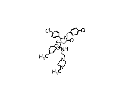 Cc1ccc(SC2(C(=O)NCCN3CCN(C)CC3)CC(=O)N(Cc3ccc(Cl)cc3)C2c2ccc(Cl)cc2)cc1